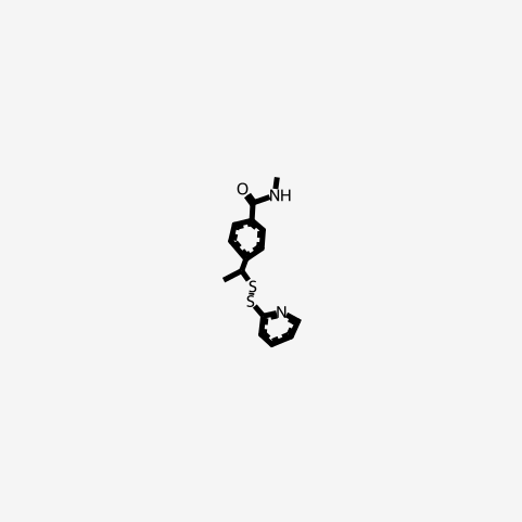 CNC(=O)c1ccc(C(C)SSc2ccccn2)cc1